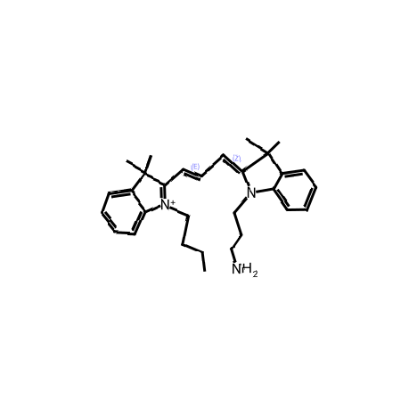 CCCC[N+]1=C(/C=C/C=C2\N(CCCN)c3ccccc3C2(C)C)C(C)(C)c2ccccc21